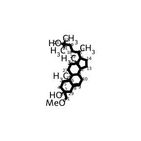 COC[C@]1(O)CC[C@@]2(C)C(=CCC3C4CCC(C(C)CCC(C)(C)O)[C@@]4(C)CCC32)C1